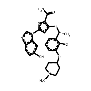 C[C@@H](Oc1cc(-n2cnc3ccc(C#N)cc32)sc1C(N)=O)c1cccc(OC2CCN(C)CC2)c1Cl